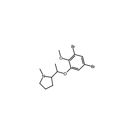 COc1c(Br)cc(Br)cc1OC(C)C1CCCN1C